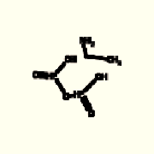 CCN.O=[PH](O)O[PH](=O)O